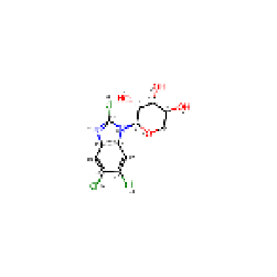 O[C@@H]1[C@H](O)[C@@H](O)CO[C@H]1n1c(Cl)nc2cc(Cl)c(Cl)cc21